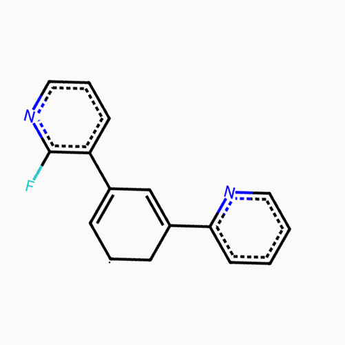 Fc1ncccc1C1=C[CH]CC(c2ccccn2)=C1